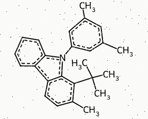 Cc1cc(C)cc(-n2c3ccccc3c3ccc(C)c(C(C)(C)C)c32)c1